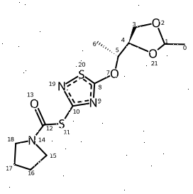 CC1OC[C@H]([C@@H](C)Oc2nc(SC(=O)N3CCCC3)ns2)O1